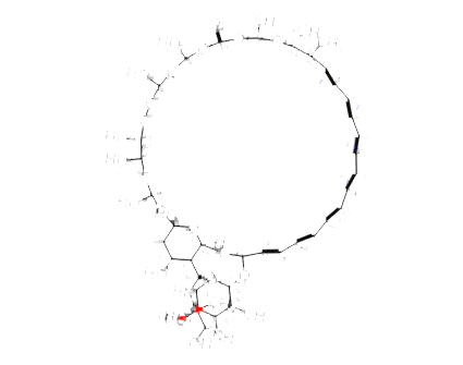 C[C@H]1C[C@H](O)[C@@H](C)/C=C/C=C/C=C/C=C/C=C/C=C/C=C/C(O[C@@H]2OC[C@@H](O)[C@H](N)[C@@H]2O)C[C@@H]2OC(O)(CC(O)CC(O)[C@H](O)CCC(O)CC(O)CC(=O)O1)C[C@H](O)C2C(=O)NC(C)(C)CO